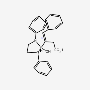 O=C(O)C/C(=C\c1ccccc1)[PH]1(O)N(c2ccccc2)CCN1c1ccccc1